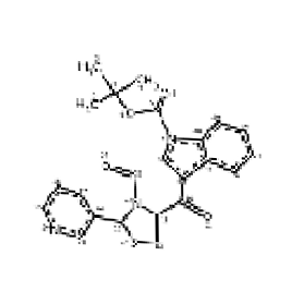 CC(C)(C)OC(=O)n1cc(C(=O)C2CSC(c3cccnc3)N2C=O)c2ccccc21